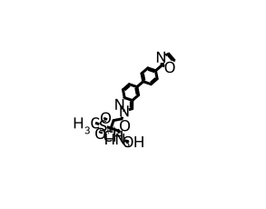 C[C@@](CCn1cc2cc(-c3ccc(-c4ncco4)cc3)ccc2n1)(C(=O)NO)S(C)(=O)=O